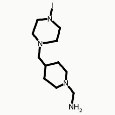 NCN1CCC(CN2CCN(I)CC2)CC1